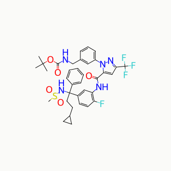 CC(C)(C)OC(=O)NCc1cccc(-n2nc(C(F)(F)F)cc2C(=O)Nc2cc(C(CCC3CC3)(NS(C)(=O)=O)c3ccccc3)ccc2F)c1